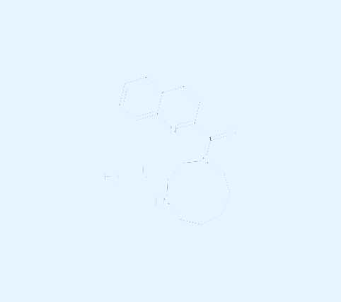 O=C(c1ccc2ccccc2n1)N1CCCCCNCC1.[CH2].[CH2]